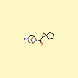 O=C(C1CC12CCCC2)N1C2CNCC1C2